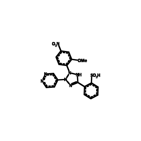 COc1cc([N+](=O)[O-])ccc1N1NC(c2ccccc2S(=O)(=O)O)=NN1c1ccnnc1